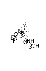 CCCC(c1ccc(C(=O)NCCC(=O)O)cc1)N1C(=O)C(c2cccc(OC(F)(F)F)c2)=NC12CCC(C(C)(C)CC)CC2